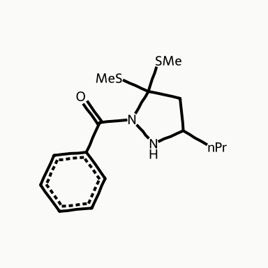 CCCC1CC(SC)(SC)N(C(=O)c2ccccc2)N1